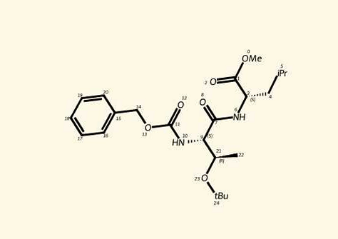 COC(=O)[C@H](CC(C)C)NC(=O)[C@@H](NC(=O)OCc1ccccc1)[C@@H](C)OC(C)(C)C